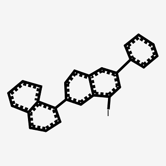 Ic1cc(-c2ccccc2)cc2ccc(-c3cccc4ccccc34)cc12